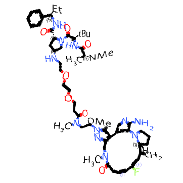 C=C1/C=C(F)\C=C/CC(=O)N(C)Cc2nn(CCN(C)C(=O)CCOCCOCCN[C@@H]3C[C@H](C(=O)N[C@@H](CC)c4ccccc4)N(C(=O)[C@H](NC(=O)[C@@H](C)NC)C(C)(C)C)C3)c(OC)c2-c2cnc(N)c(c2)N2CCC[C@H]12